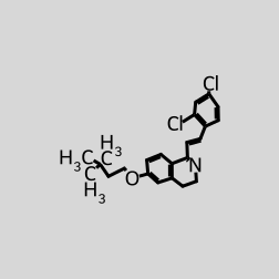 CC(C)(C)CCOc1ccc2c(c1)CCN=C2C=Cc1ccc(Cl)cc1Cl